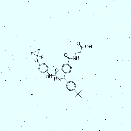 CC(C)(C)c1ccc(C(NC(=O)Nc2ccc(OC(F)(F)F)cc2)c2ccc(C(=O)NCCC(=O)O)cc2)cc1